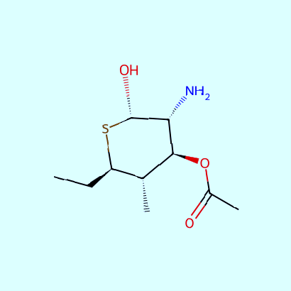 CC[C@H]1S[C@H](O)[C@H](N)[C@@H](OC(C)=O)[C@@H]1C